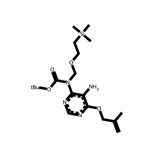 C=C(C)COc1ncnc(N(COCC[Si](C)(C)C)C(=O)OC(C)(C)C)c1N